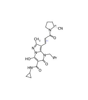 Cc1nn2c(O)c(C(=O)NC3CC3)c(=O)n(CC(C)C)c2c1/C=C/C(=O)N1CCC[C@@H]1C#N